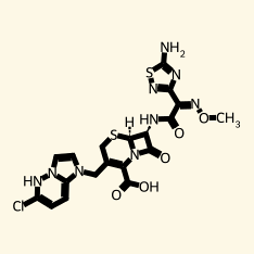 CO/N=C(\C(=O)N[C@@H]1C(=O)N2C(C(=O)O)=C(CN3C=CN4NC(Cl)=CC=C34)CS[C@@H]12)c1nsc(N)n1